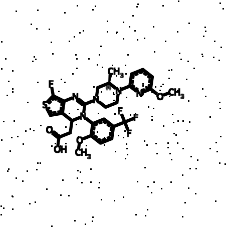 COc1cccc(N2CCN(C3=Nc4c(csc4F)C(CC(=O)O)N3c3cc(C(F)(F)F)ccc3OC)C[C@H]2C)n1